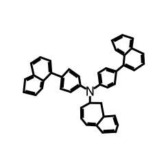 C1=CC2=CC=CC(N(c3ccc(-c4cccc5ccccc45)cc3)c3ccc(-c4cccc5ccccc45)cc3)CC2C=C1